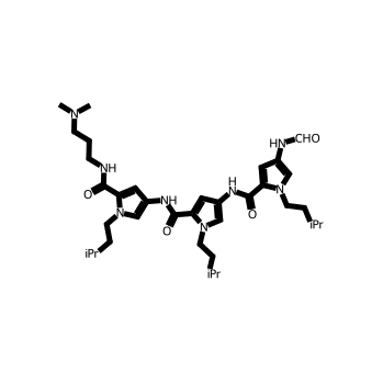 CC(C)CCn1cc(NC(=O)c2cc(NC(=O)c3cc(NC=O)cn3CCC(C)C)cn2CCC(C)C)cc1C(=O)NCCCN(C)C